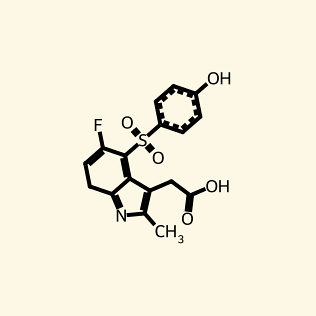 CC1=C(CC(=O)O)C2=C(S(=O)(=O)c3ccc(O)cc3)C(F)=CCC2=N1